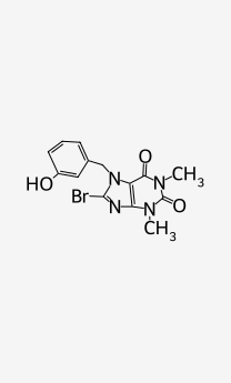 Cn1c(=O)c2c(nc(Br)n2Cc2cccc(O)c2)n(C)c1=O